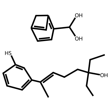 CCC(O)(CC)CCC=C(C)c1cccc(S)c1.OC(O)c1ccc2cc1C2